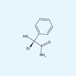 CC[C@](O)(C(N)=O)c1ccccc1